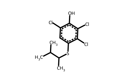 CC(C)C(C)Sc1cc(Cl)c(O)c(Cl)c1Cl